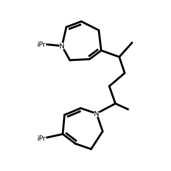 CC(C)C1=CCCN(C(C)CCC(C)C2=CCN(C(C)C)C=CC2)C=C1